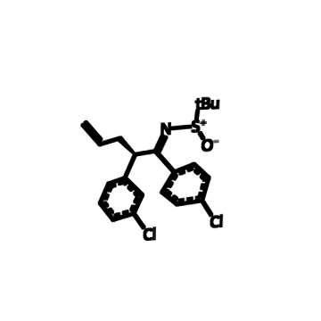 C=CC[C@@H](/C(=N/[S+]([O-])C(C)(C)C)c1ccc(Cl)cc1)c1cccc(Cl)c1